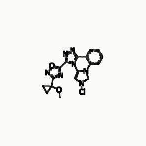 COC1(c2noc(-c3nnc4n3C3=CN(Cl)CN3c3ccccc3-4)n2)CC1